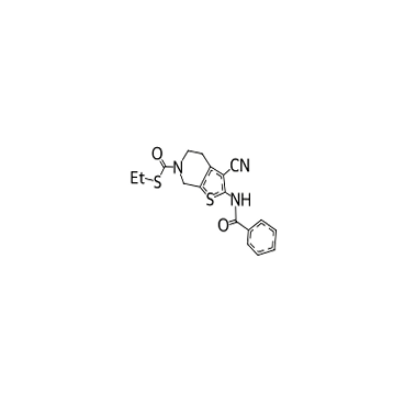 CCSC(=O)N1CCc2c(sc(NC(=O)c3ccccc3)c2C#N)C1